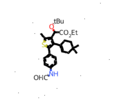 CCOC(=O)C(OC(C)(C)C)c1c(C)sc(-c2ccc(NC=O)cc2)c1C1=CCC(C)(C)CC1